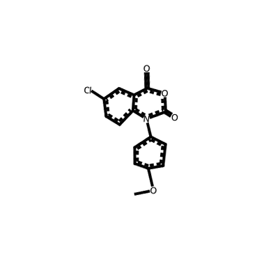 COc1ccc(-n2c(=O)oc(=O)c3cc(Cl)ccc32)cc1